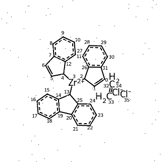 C1=C[CH]([Zr+2]([CH]2C=Cc3ccccc32)[CH]2c3ccccc3-c3ccccc32)c2ccccc21.C=C.[Cl-].[Cl-]